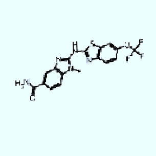 Cn1c(Nc2nc3ccc(OC(F)(F)F)cc3s2)nc2cc(C(N)=O)ccc21